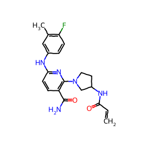 C=CC(=O)NC1CCN(c2nc(Nc3ccc(F)c(C)c3)ccc2C(N)=O)C1